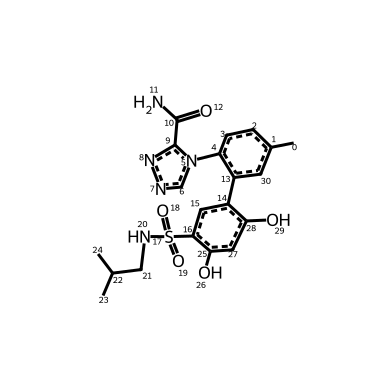 Cc1ccc(-n2cnnc2C(N)=O)c(-c2cc(S(=O)(=O)NCC(C)C)c(O)cc2O)c1